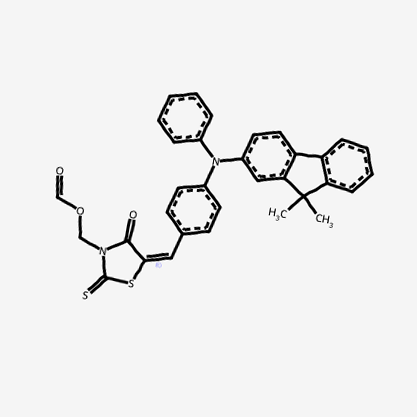 CC1(C)c2ccccc2-c2ccc(N(c3ccccc3)c3ccc(/C=C4/SC(=S)N(COC=O)C4=O)cc3)cc21